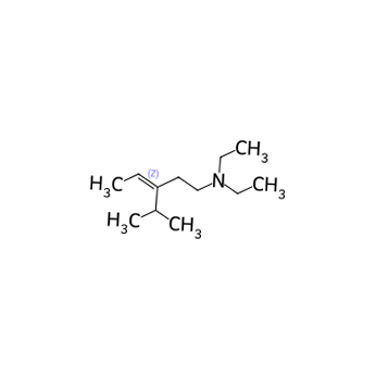 C/C=C(/CCN(CC)CC)C(C)C